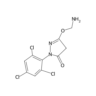 NCOC1=NN(c2c(Cl)cc(Cl)cc2Cl)C(=O)C1